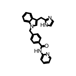 O=C(Nc1ccccn1)c1ccc(Cn2cc(Cc3ncc[nH]3)c3ccccc32)cc1